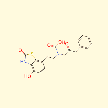 O=C(Cc1ccccc1)CN(CCc1ccc(O)c2[nH]c(=O)sc12)C(=O)O